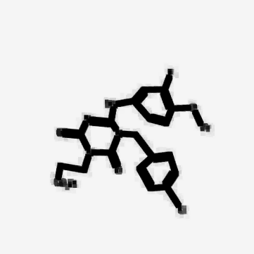 CCOC(=O)CCn1c(=O)nc(Nc2ccc(OC(C)C)c(F)c2)n(Cc2ccc(Cl)cc2)c1=O